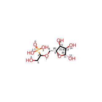 O=P(O)(O)C(CO)OC[C@H]1O[C@@H](O)[C@H](O)[C@@H]1O